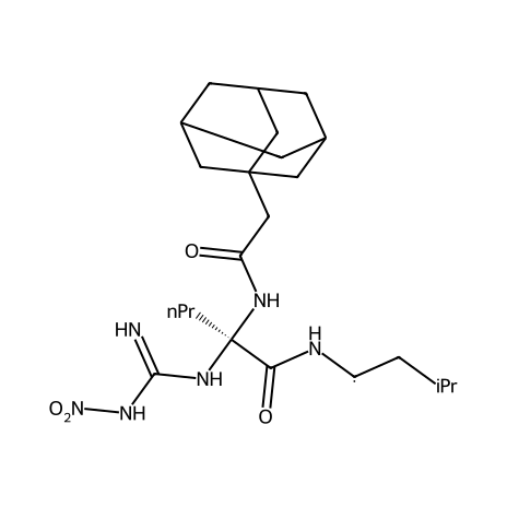 CCC[C@](NC(=N)N[N+](=O)[O-])(NC(=O)CC12CC3CC(CC(C3)C1)C2)C(=O)N[CH]CC(C)C